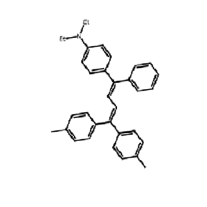 CCN(CC)c1ccc(C(=CC=C(c2ccc(C)cc2)c2ccc(C)cc2)c2ccccc2)cc1